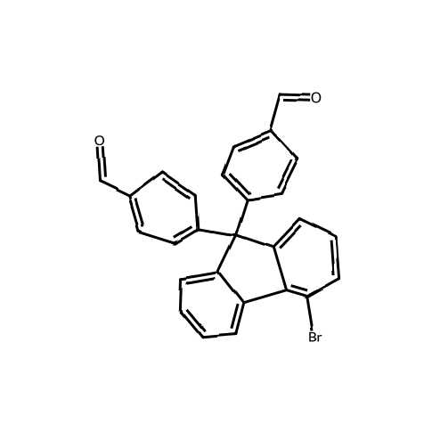 O=Cc1ccc(C2(c3ccc(C=O)cc3)c3ccccc3-c3c(Br)cccc32)cc1